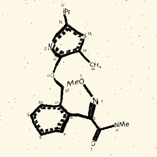 CNC(=O)/C(=N/OC)c1ccccc1COc1nc(C(C)C)sc1C